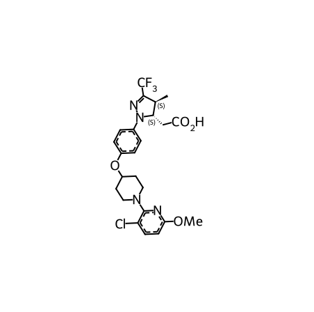 COc1ccc(Cl)c(N2CCC(Oc3ccc(N4N=C(C(F)(F)F)[C@@H](C)[C@@H]4CC(=O)O)cc3)CC2)n1